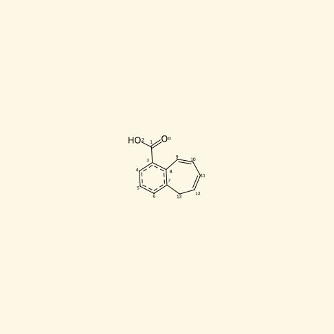 O=C(O)c1cccc2c1C=CC=CC2